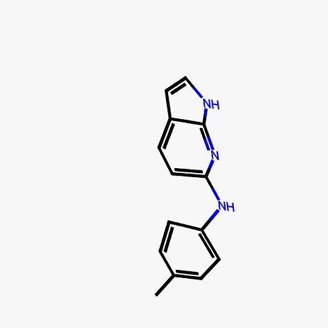 Cc1ccc(Nc2ccc3cc[nH]c3n2)cc1